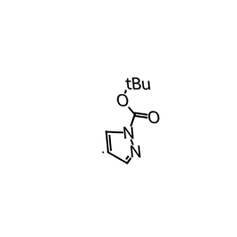 CC(C)(C)OC(=O)n1c[c]cn1